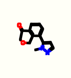 Cn1nccc1-c1cccc2c1COCC2=O